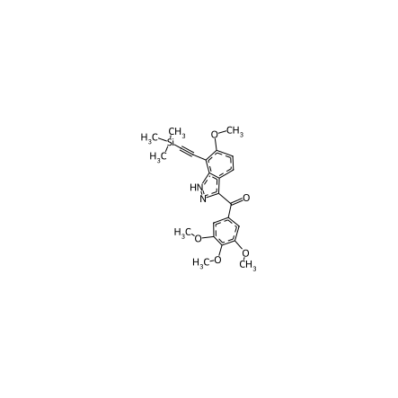 COc1cc(C(=O)c2n[nH]c3c(C#C[Si](C)(C)C)c(OC)ccc23)cc(OC)c1OC